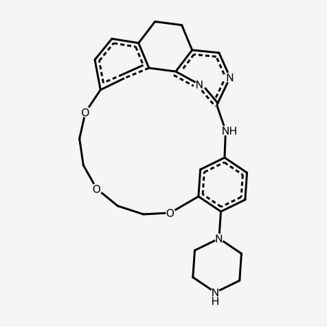 c1cc(N2CCNCC2)c2cc1Nc1ncc3c(n1)-c1cc(ccc1CC3)OCCOCCO2